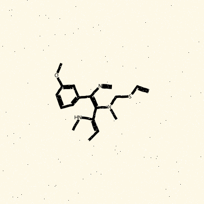 C=CSCN(C)C(/C(=C/C)NC)=C(\N=C)c1cccc(OC)c1